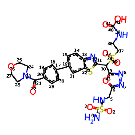 NS(=O)(=O)NCc1nnc(C(c2nc3ccc(-c4ccc(C(=O)N5CCOCC5)cc4)cc3s2)S(=O)(=O)CCNC(=O)O)o1